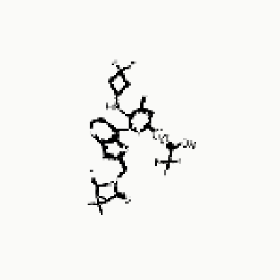 Cc1cc(Cl)nc(-c2ccnc3cc(CN4C(=O)C5C(C4=O)C5(C)C)sc23)c1NC1CC(F)(F)C1.O=C(O)C(F)(F)F